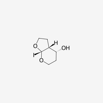 O[C@@H]1CCO[C@]2(I)OCC[C@H]12